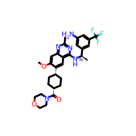 COc1cc2nc(C)nc(N[C@H](C)c3cc(N)cc(C(F)(F)F)c3)c2cc1[C@H]1CC[C@@H](C(=O)N2CCOCC2)CC1